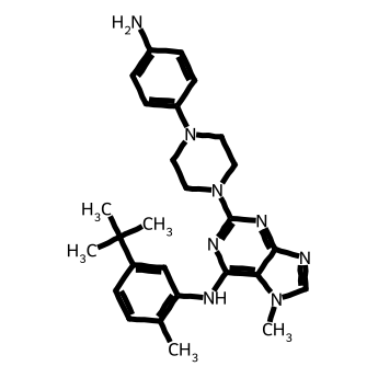 Cc1ccc(C(C)(C)C)cc1Nc1nc(N2CCN(c3ccc(N)cc3)CC2)nc2ncn(C)c12